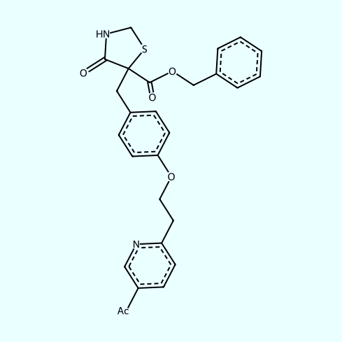 CC(=O)c1ccc(CCOc2ccc(CC3(C(=O)OCc4ccccc4)SCNC3=O)cc2)nc1